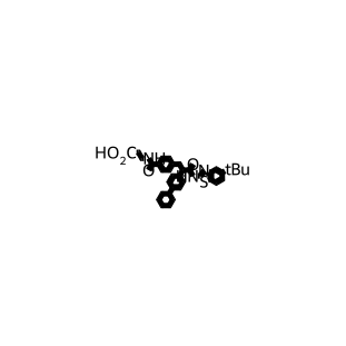 CC(C)(C)c1ccc2sc(NC(=O)C(Cc3ccc(C(=O)NCCC(=O)O)cc3)c3ccc(C4CCCCC4)cc3)nc2c1